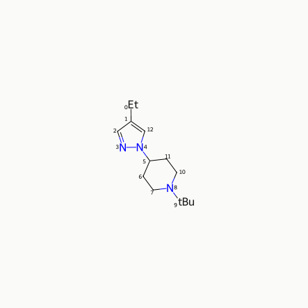 CCc1cnn(C2CCN(C(C)(C)C)CC2)c1